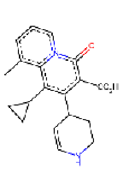 Cc1cccn2c(=O)c(C(=O)O)c(C3C=CNCC3)c(C3CC3)c12